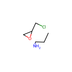 CCCN.ClCC1CO1